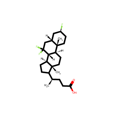 C[C@H](CCC(=O)O)C1CC[C@H]2[C@H]3[C@H](CC[C@]12C)[C@@]1(C)CC[C@H](F)C[C@H]1CC3(F)F